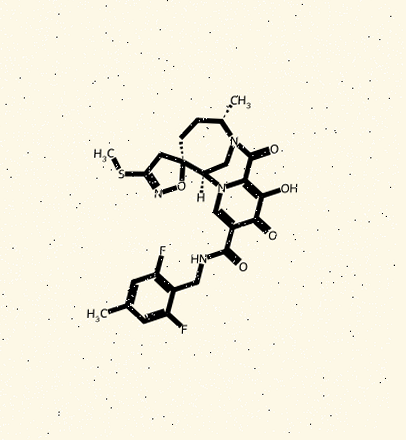 CSC1=NO[C@@]2(CC[C@H](C)N3C[C@H]2n2cc(C(=O)NCc4c(F)cc(C)cc4F)c(=O)c(O)c2C3=O)C1